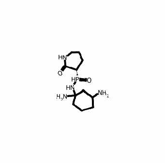 NC1CCCC(N)(N[PH](=O)[C@H]2CCCNC2=O)C1